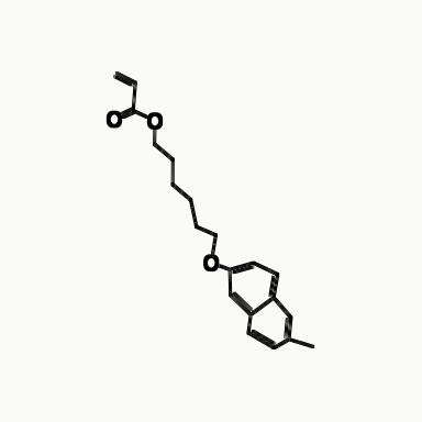 C=CC(=O)OCCCCCCOc1ccc2cc(C)ccc2c1